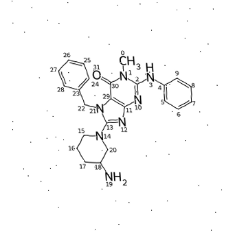 Cn1c(Nc2ccccc2)nc2nc(N3CCCC(N)C3)n(Cc3ccccc3)c2c1=O